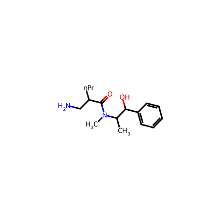 CCCC(CN)C(=O)N(C)C(C)C(O)c1ccccc1